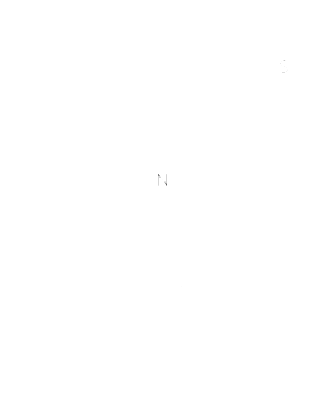 CS(C)(C)c1ccc(-c2ccc(-n3c(-c4ccccc4)c(-c4cc(-c5ccccc5)cc(-c5ccccc5)c4)c4cc(-c5cc(-c6ccccc6)cc(-c6ccccc6)c5)ccc43)cc2)cc1